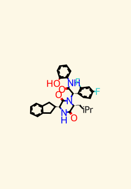 CC(C)C[C@@H]1C(=O)N[C@H](C2Cc3ccccc3C2)C(=O)N1[C@H](C(=O)Nc1ccccc1O)c1ccc(F)cc1F